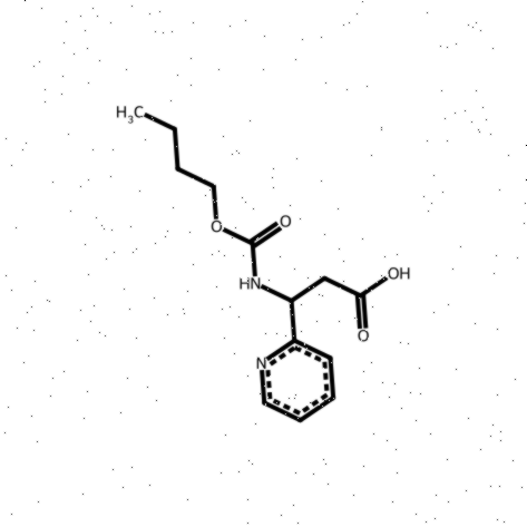 CCCCOC(=O)NC(CC(=O)O)c1ccccn1